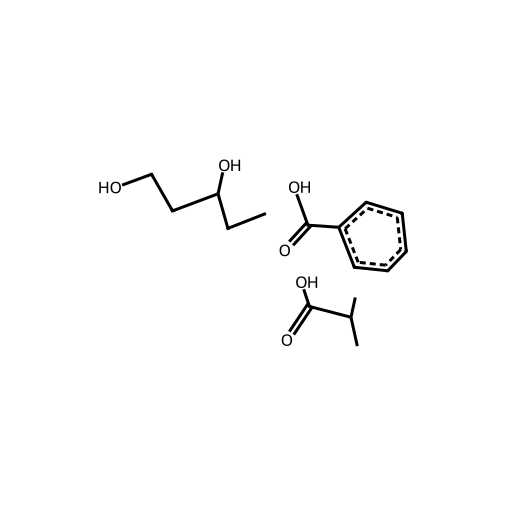 CC(C)C(=O)O.CCC(O)CCO.O=C(O)c1ccccc1